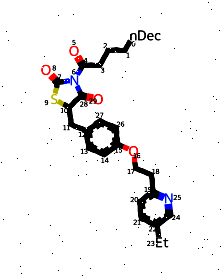 CCCCCCCCCCCCCC(=O)N1C(=O)SC(Cc2ccc(OCCc3ccc(CC)cn3)cc2)C1=O